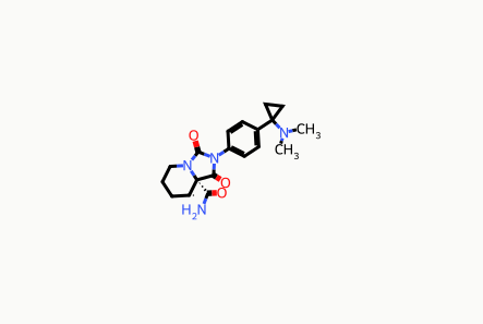 CN(C)C1(c2ccc(N3C(=O)N4CCC[CH][C@]4(C(N)=O)C3=O)cc2)CC1